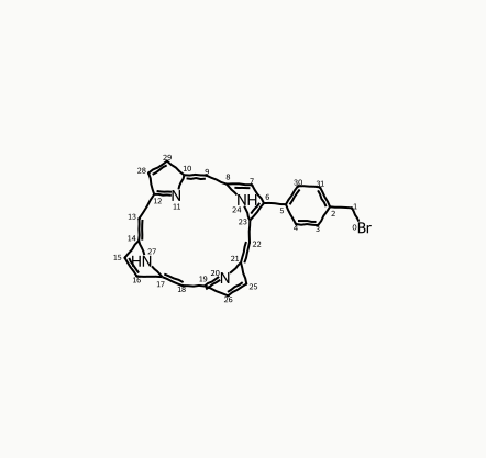 BrCc1ccc(-c2cc3cc4nc(cc5ccc(cc6nc(cc2[nH]3)C=C6)[nH]5)C=C4)cc1